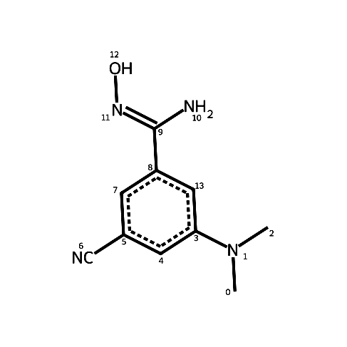 CN(C)c1cc(C#N)cc(C(N)=NO)c1